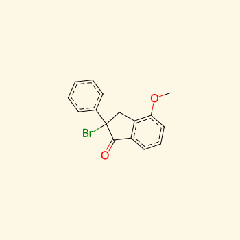 COc1cccc2c1CC(Br)(c1ccccc1)C2=O